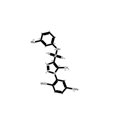 COc1ccc(OC)c(-n2nnc(S(=O)(=O)Nc3cccc(C(C)(C)C)c3)c2C)c1